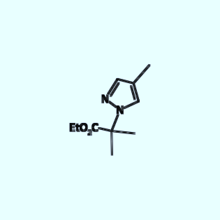 CCOC(=O)C(C)(C)n1cc(C)cn1